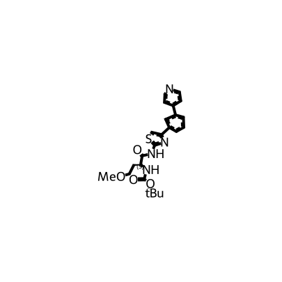 COCC[C@H](NC(=O)OC(C)(C)C)C(=O)Nc1nc(-c2cccc(-c3ccncc3)c2)cs1